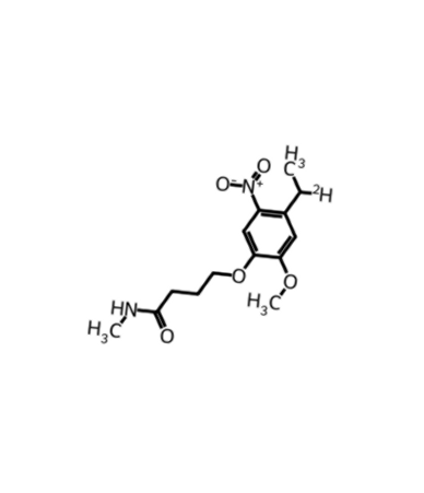 [2H]C(C)c1cc(OC)c(OCCCC(=O)NC)cc1[N+](=O)[O-]